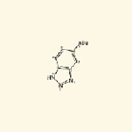 CCCCc1[c]c2nn[nH]c2cc1